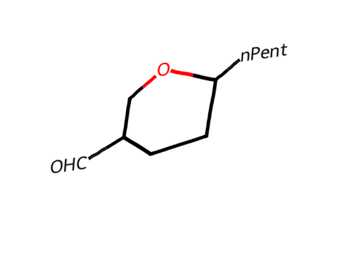 CCCCCC1CCC(C=O)CO1